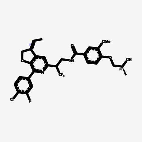 C/C=C1/COc2c1cc(C(CNC(=O)c1ccc(OC[C@@H](C)O)c(OC)c1)C(F)(F)F)nc2-c1ccc(Cl)c(F)c1